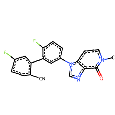 Cn1ccc2c(ncn2-c2ccc(F)c(-c3cc(F)ccc3C#N)c2)c1=O